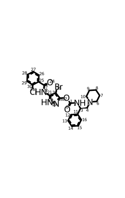 O=C(N[C@@H](CN1CCCCC1)c1ccccc1)Oc1n[nH]c(NC(=O)c2ccccc2Cl)c1Br